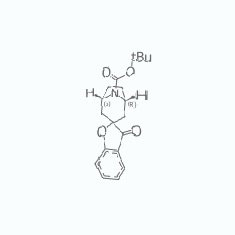 CC(C)(C)OC(=O)N1[C@@H]2CC[C@H]1CC1(C2)Oc2ccccc2C1=O